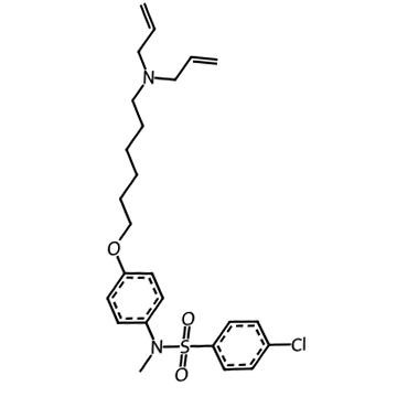 C=CCN(CC=C)CCCCCCOc1ccc(N(C)S(=O)(=O)c2ccc(Cl)cc2)cc1